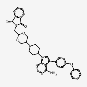 Nc1ncnc2c1c(-c1ccc(Oc3ccccc3)cc1)cn2C1CCN(C2COC(CN3C(=O)c4ccccc4C3=O)OC2)CC1